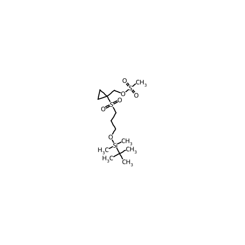 CC(C)(C)[Si](C)(C)OCCCS(=O)(=O)C1(COS(C)(=O)=O)CC1